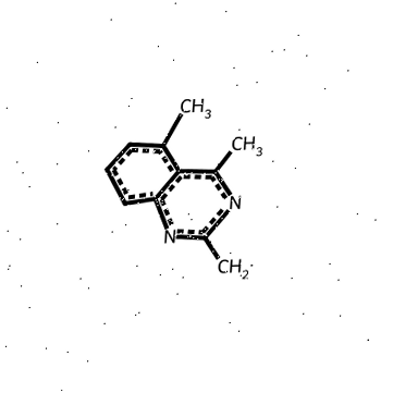 [CH2]c1nc(C)c2c(C)cccc2n1